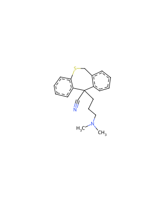 CN(C)CCCC1(C#N)c2ccccc2CSc2ccccc21